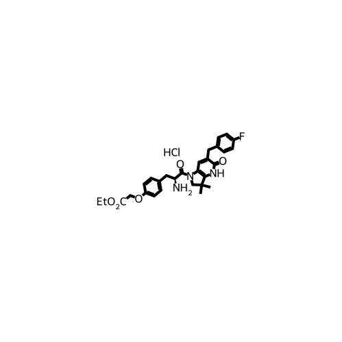 CCOC(=O)COc1ccc(C[C@H](N)C(=O)N2CC(C)(C)c3[nH]c(=O)c(Cc4ccc(F)cc4)cc32)cc1.Cl